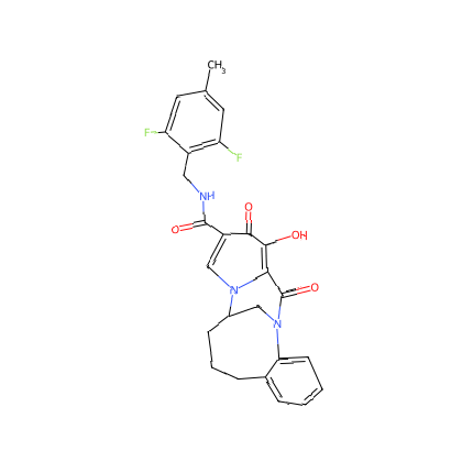 Cc1cc(F)c(CNC(=O)c2cn3c(c(O)c2=O)C(=O)N2CC3CCCc3ccccc32)c(F)c1